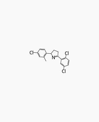 Cc1cc(Cl)ccc1C1CCC(c2cc(Cl)ccc2Cl)=N1